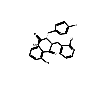 COC(=O)[C@H](Cc1ccc(N)cc1)N(Cc1cccnc1Cl)C(=O)c1c(Cl)cccc1Cl